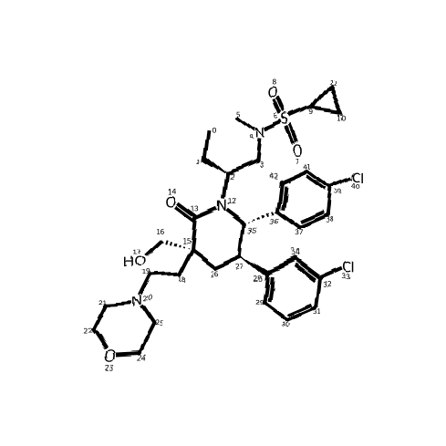 CC[C@@H](CN(C)S(=O)(=O)C1CC1)N1C(=O)[C@](CO)(CCN2CCOCC2)C[C@H](c2cccc(Cl)c2)[C@H]1c1ccc(Cl)cc1